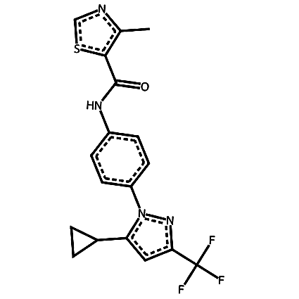 Cc1ncsc1C(=O)Nc1ccc(-n2nc(C(F)(F)F)cc2C2CC2)cc1